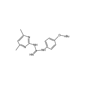 CCCCOc1ccc(NC(=N)Nc2nc(C)cc(C)n2)cc1